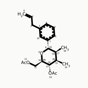 C=CCc1cccc([C@H]2O[C@H](COC(C)=O)[C@@H](OC(C)=O)[C@H](C)[C@@H]2C)c1